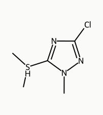 Cn1nc(Cl)nc1[SH](C)C